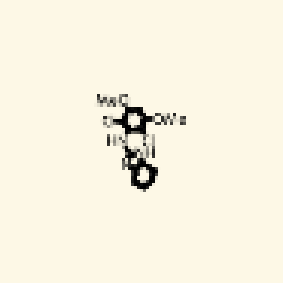 COc1cc(OC)c(Cl)c(Nc2nc3ccccc3[nH]2)c1Cl